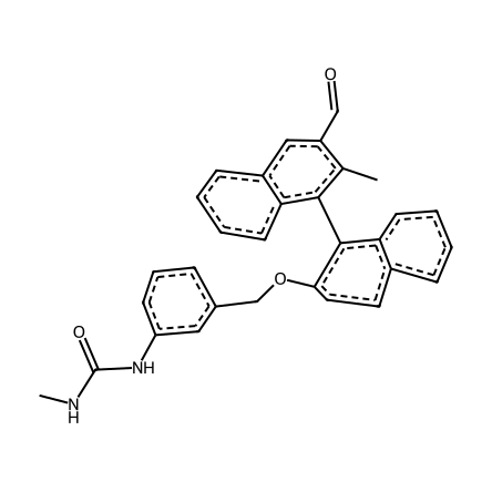 CNC(=O)Nc1cccc(COc2ccc3ccccc3c2-c2c(C)c(C=O)cc3ccccc23)c1